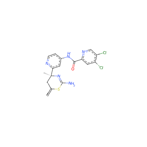 C=C1C[C@@](C)(c2cc(NC(=O)c3cc(Cl)c(Cl)cn3)ccn2)N=C(N)S1